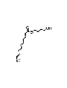 CCC=CCCCCCCCC(=O)OCCCCO